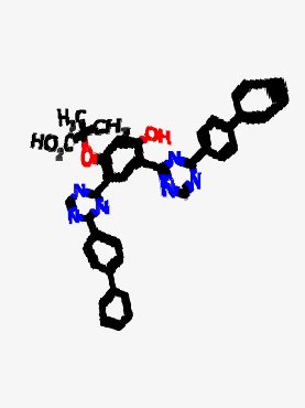 CC(C)(Oc1cc(O)c(-c2ncnc(-c3ccc(-c4ccccc4)cc3)n2)cc1-c1ncnc(-c2ccc(-c3ccccc3)cc2)n1)C(=O)O